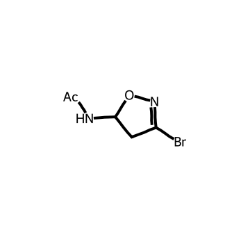 CC(=O)NC1CC(Br)=NO1